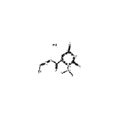 CCN=C=NC(=O)c1cc(=O)[nH]c(=O)n1N(C)C.Cl